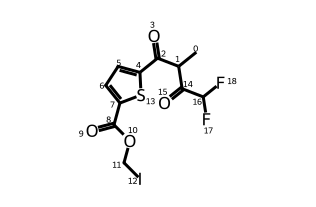 CC(C(=O)c1ccc(C(=O)OCI)s1)C(=O)C(F)F